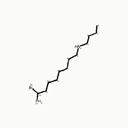 CCCCNCCCCCCCC(P)Br